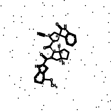 COc1cccc2[nH]c(C(=O)N3C[C@@H]4CCC[C@@H]4[C@H]3C(=O)N3C[C@]4(C[C@H]3C#N)C(=O)Nc3ccccc34)cc12